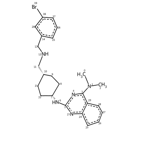 CN(C)c1nc(N[C@H]2CC[C@@H](CNCc3cccc(Br)c3)CC2)nc2ccccc12